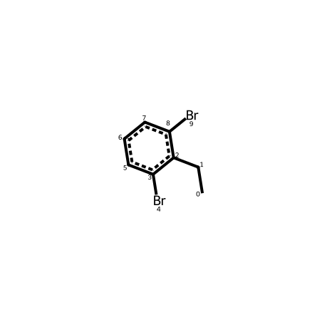 CCc1c(Br)c[c]cc1Br